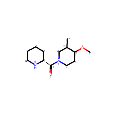 COC1CCN(C(=O)[C@H]2CCCCN2)CC1C